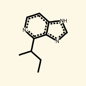 CCC(C)c1nccc2[nH]cnc12